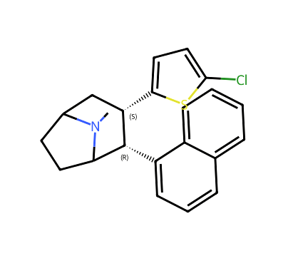 CN1C2CCC1[C@@H](c1cccc3ccccc13)[C@@H](c1ccc(Cl)s1)C2